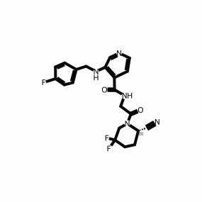 N#C[C@@H]1CCC(F)(F)CN1C(=O)CNC(=O)c1ccncc1NCc1ccc(F)cc1